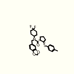 Cc1ccc(S[C@@H]2CCC[C@H]2C(=O)N(Cc2ccc3c(c2)OCO3)C2CCC(F)(F)CC2)cc1